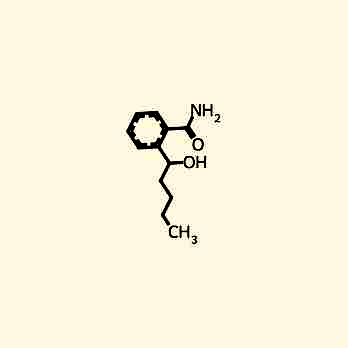 CCCCC(O)c1ccccc1C(N)=O